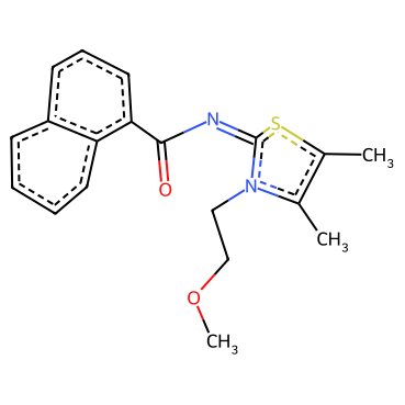 COCCn1c(C)c(C)sc1=NC(=O)c1cccc2ccccc12